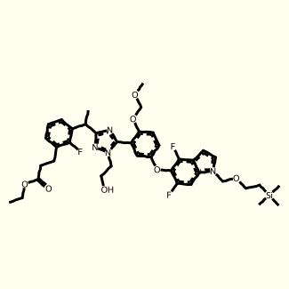 CCOC(=O)CCc1cccc(C(C)c2nc(-c3cc(Oc4c(F)cc5c(ccn5COCC[Si](C)(C)C)c4F)ccc3OCOC)n(CCO)n2)c1F